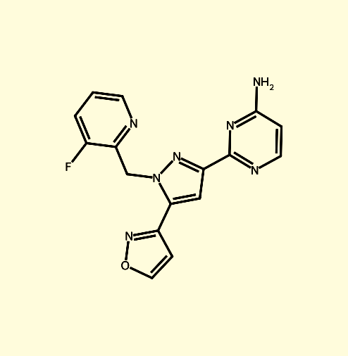 Nc1ccnc(-c2cc(-c3ccon3)n(Cc3ncccc3F)n2)n1